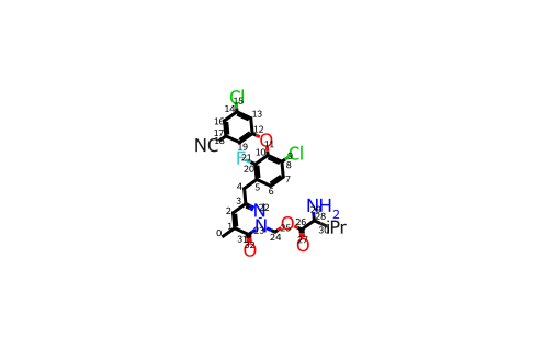 Cc1cc(Cc2ccc(Cl)c(Oc3cc(Cl)cc(C#N)c3)c2F)nn(COC(=O)C(N)C(C)C)c1=O